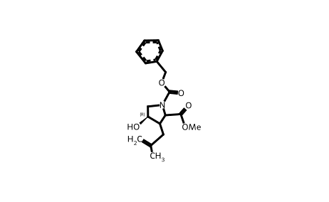 C=C(C)CC1C(C(=O)OC)N(C(=O)OCc2ccccc2)C[C@@H]1O